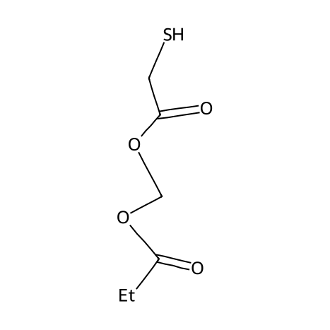 CCC(=O)OCOC(=O)CS